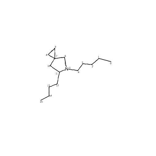 CCCCCN1CC2(CC2)CC1CCCC